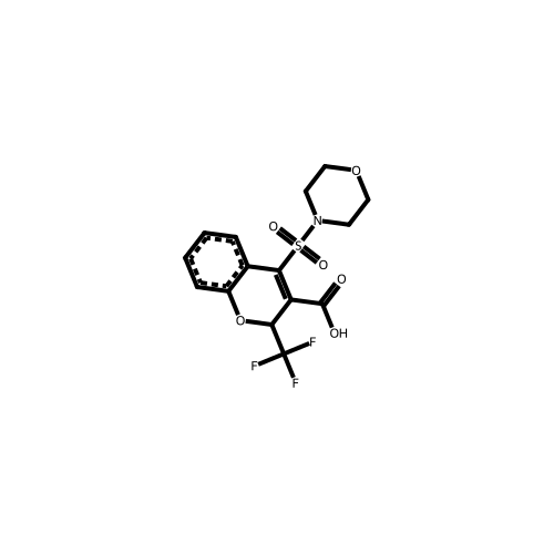 O=C(O)C1=C(S(=O)(=O)N2CCOCC2)c2ccccc2OC1C(F)(F)F